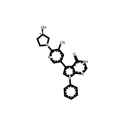 N#Cc1cc(-c2cn(-c3ccccc3)c3nc[nH]c(=O)c23)cnc1N1CC[C@@H](O)C1